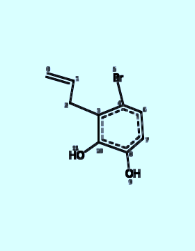 C=CCc1c(Br)ccc(O)c1O